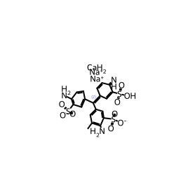 Cc1cc(/C(=C2/C=CC(=N)C(S(=O)(=O)O)=C2)c2ccc(N)c(S(=O)(=O)[O-])c2)cc(S(=O)(=O)[O-])c1N.[CaH2].[Na+].[Na+]